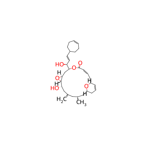 C=C1C[C@H](C)C[C@@H]2CC=C[C@@H](C/C=C\C(=O)OC([C@@H](O)/C=C/C3CCC=CCC3)C[C@@H]3O[C@H]3[C@@H](O)C1)O2